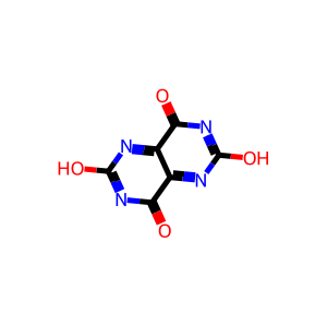 O=C1N=C(O)N=C2C(=O)N=C(O)N=C12